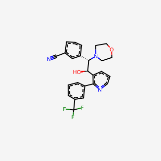 N#Cc1cccc([C@@H]([C@H](O)c2cccnc2-c2cccc(C(F)(F)F)c2)N2CCOCC2)c1